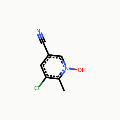 Cc1c(Cl)cc(C#N)c[n+]1O